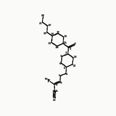 C=C(C1CCC(CCC=C(F)C#N)CC1)C1CCC(CCCC)CC1